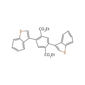 CCOC(=O)c1cc(-c2csc3ccccc23)c(C(=O)OCC)cc1-c1csc2ccccc12